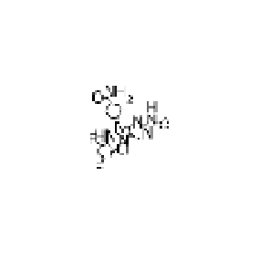 NC(=O)[C@H]1CC[C@H](n2c(Nc3c(F)cc(F)cc3Cl)nc3cnc(NC4CCC4)nc32)CC1